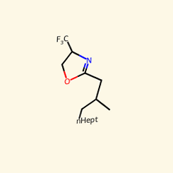 CCCCCCCCC(C)CC1=NC(C(F)(F)F)CO1